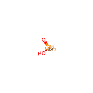 Br.O=[PH2]O